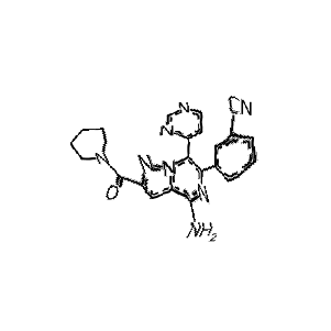 N#Cc1cccc(-c2nc(N)c3cc(C(=O)N4CCCCC4)nn3c2-c2ccncn2)c1